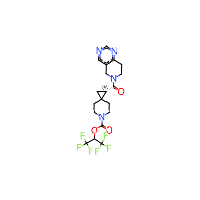 O=C(OC(C(F)(F)F)C(F)(F)F)N1CCC2(CC1)C[C@@H]2C(=O)N1CCc2ncncc2C1